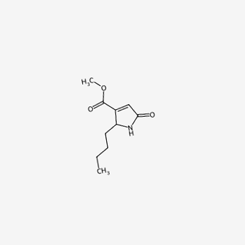 CCCCC1NC(=O)C=C1C(=O)OC